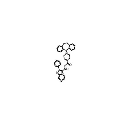 O=C(CNc1c(-c2ccccc2)nc2cnccn12)N1CCN(C2c3ccccc3CCc3ccccc32)CC1